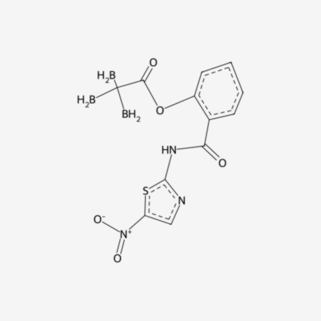 BC(B)(B)C(=O)Oc1ccccc1C(=O)Nc1ncc([N+](=O)[O-])s1